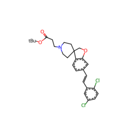 CC(C)(C)OC(=O)CCN1CCC2(CC1)COc1cc(C=Cc3cc(Cl)ccc3Cl)ccc12